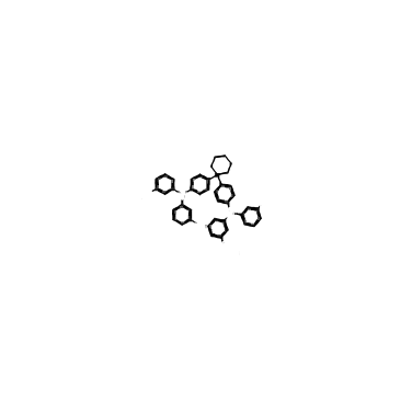 Cc1cccc(N(c2ccc(C3(c4ccc(N(c5cccc(C)c5)c5cccc(C)c5)cc4)CCCCC3)cc2)c2cccc(C)c2)c1